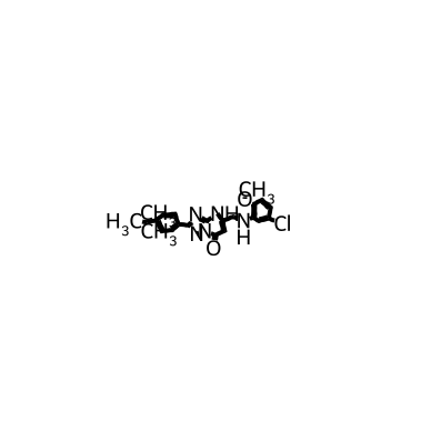 COc1ccc(Cl)cc1NCc1cc(=O)n2nc(-c3ccc(C(C)(C)C)cc3)nc2[nH]1